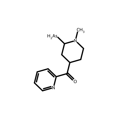 CN1CCC(C(=O)c2ccccn2)CC1[AsH2]